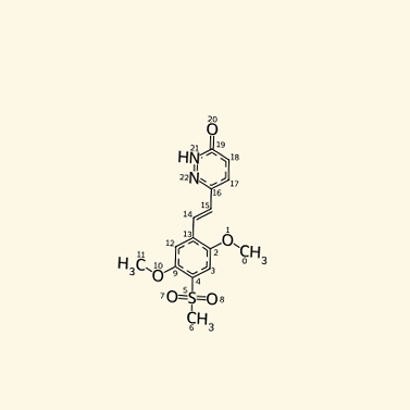 COc1cc(S(C)(=O)=O)c(OC)cc1C=Cc1ccc(=O)[nH]n1